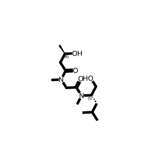 CC(C)C[C@@H](CO)N(C)C(=O)CN(C)C(=O)C[C@@H](C)O